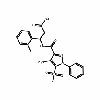 Cc1ccccc1C(CC(=O)O)NC(=O)c1nn(-c2ccccc2)c(S(C)(=O)=O)c1N